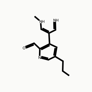 CCCc1cnc(C=O)c(/C(C=N)=C/NC)c1